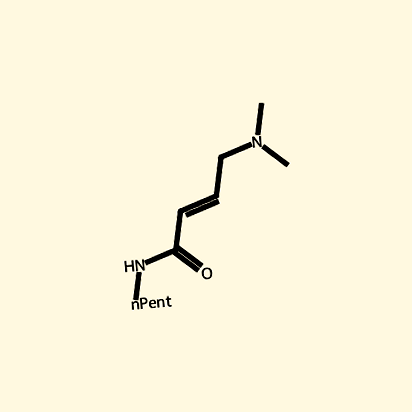 CCCCCNC(=O)C=CCN(C)C